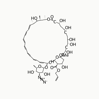 C=CCOC(=O)[C@H]1[C@@H]2C[C@@H](OC3O[C@H](C)[C@@H](O)[C@H](N=[N+]=[N-])[C@H]3O)/C=C/C=C/C=C/C=C/C=C/C=C/C=C/[C@H](C)[C@@H](O)[C@@H](C)[C@H](C)OC(=O)C[C@H](O)C[C@H](O)CCC(O)[C@H](O)C[C@H](O)C[C@](OC)(C[C@@H]1O)O2